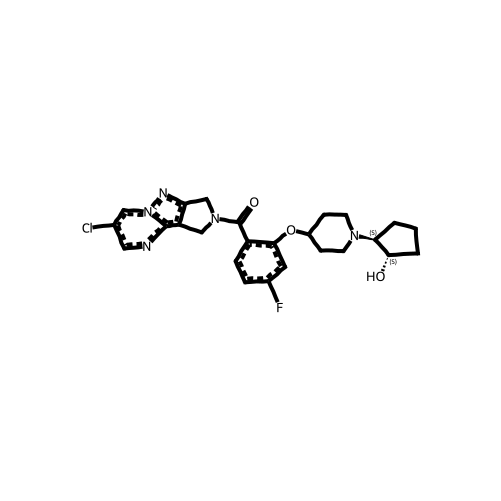 O=C(c1ccc(F)cc1OC1CCN([C@H]2CCC[C@@H]2O)CC1)N1Cc2nn3cc(Cl)cnc3c2C1